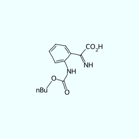 CCCCOC(=O)Nc1ccccc1C(=N)C(=O)O